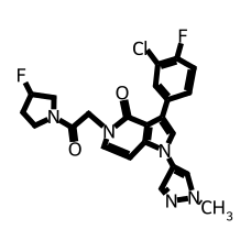 Cn1cc(-n2cc(-c3ccc(F)c(Cl)c3)c3c(=O)n(CC(=O)N4CCC(F)C4)ccc32)cn1